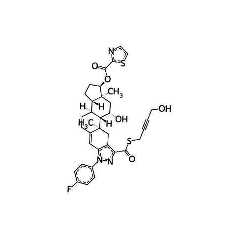 C[C@]12C[C@H](O)[C@H]3[C@@H](CCC4=Cc5c(c(C(=O)SCC#CCO)nn5-c5ccc(F)cc5)C[C@@]43C)[C@@H]1CC[C@H]2OC(=O)c1nccs1